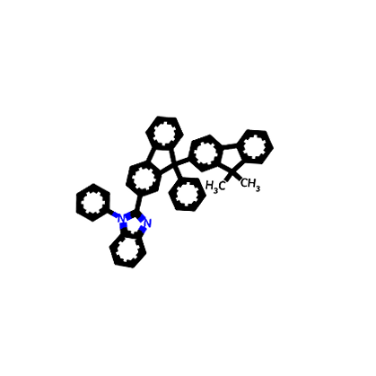 CC1(C)c2ccccc2-c2ccc(C3(c4ccccc4)c4ccccc4-c4ccc(-c5nc6ccccc6n5-c5ccccc5)cc43)cc21